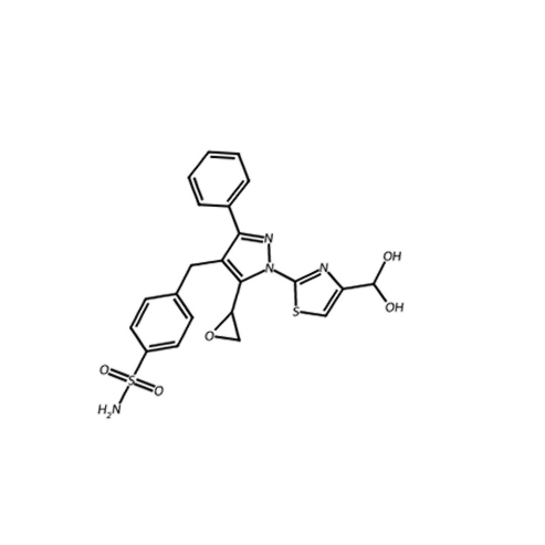 NS(=O)(=O)c1ccc(Cc2c(-c3ccccc3)nn(-c3nc(C(O)O)cs3)c2C2CO2)cc1